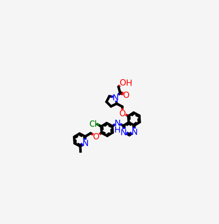 Cc1cccc(COc2ccc(Nc3ncnc4cccc(OCC5CCCN5C(=O)CO)c34)cc2Cl)n1